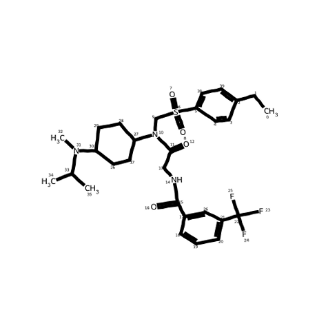 CCc1ccc(S(=O)(=O)CN(C(=O)CNC(=O)c2cccc(C(F)(F)F)c2)C2CCC(N(C)C(C)C)CC2)cc1